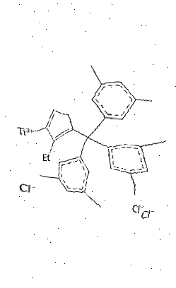 CCC1=C(C(c2cc(C)cc(C)c2)(c2cc(C)cc(C)c2)c2cc(C)cc(C)c2)CC=[C]1[Ti+3].[Cl-].[Cl-].[Cl-]